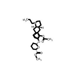 CCCN1CCC[C@@H]2Cc3c(ccc(O[C@H]4CCC[C@@H](C(=O)OC)O4)c3OC(C)=O)C[C@H]21